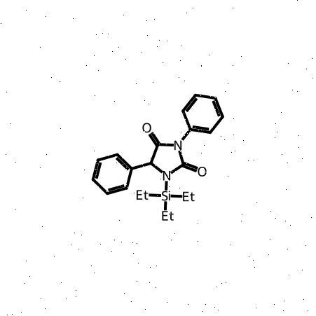 CC[Si](CC)(CC)N1C(=O)N(c2ccccc2)C(=O)C1c1ccccc1